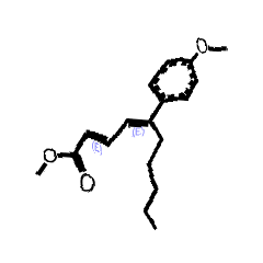 CCCCC/C(=C\C=C\C(=O)OC)c1ccc(OC)cc1